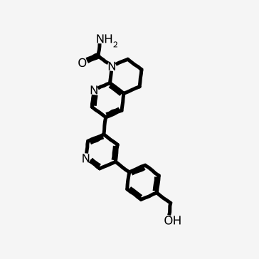 NC(=O)N1CCCc2cc(-c3cncc(-c4ccc(CO)cc4)c3)cnc21